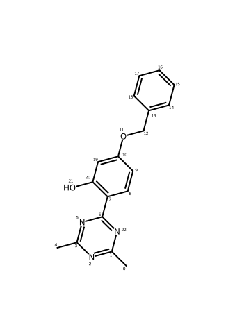 Cc1nc(C)nc(-c2ccc(OCc3ccccc3)cc2O)n1